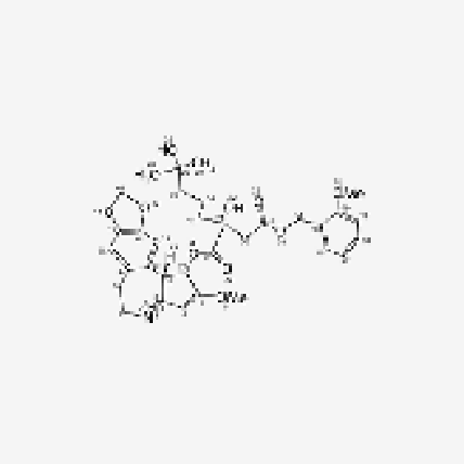 COC1=CC23CCCN2CCc2cc4c(cc2[C@@H]3C1OC(=O)[C@@](O)(CCCC(C)(C)O)CC(=O)OCc1ccccc1OC)OCO4